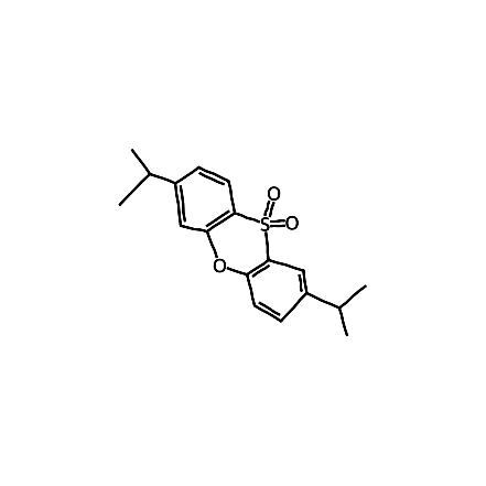 CC(C)c1ccc2c(c1)Oc1ccc(C(C)C)cc1S2(=O)=O